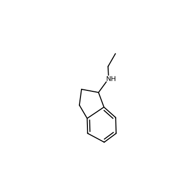 CCNC1CCc2ccccc21